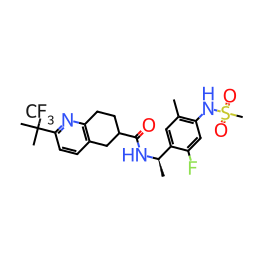 Cc1cc([C@@H](C)NC(=O)C2CCc3nc(C(C)(C)C(F)(F)F)ccc3C2)c(F)cc1NS(C)(=O)=O